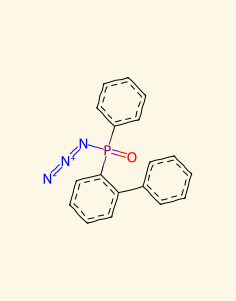 [N-]=[N+]=NP(=O)(c1ccccc1)c1ccccc1-c1ccccc1